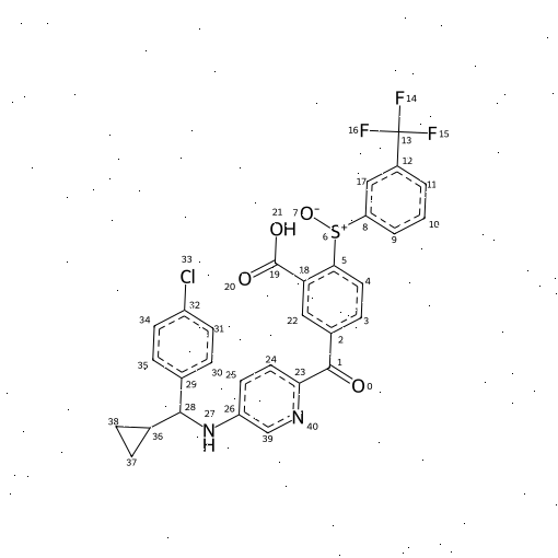 O=C(c1ccc([S+]([O-])c2cccc(C(F)(F)F)c2)c(C(=O)O)c1)c1ccc(NC(c2ccc(Cl)cc2)C2CC2)cn1